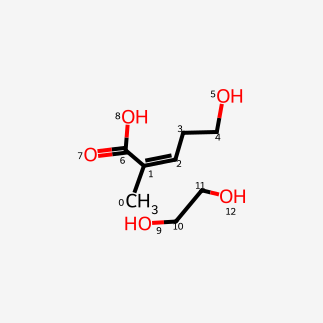 CC(=CCCO)C(=O)O.OCCO